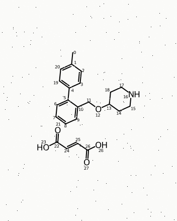 Cc1ccc(-c2ccccc2COC2CCNCC2)cc1.O=C(O)C=CC(=O)O